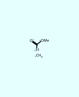 C.CCC(=O)OC